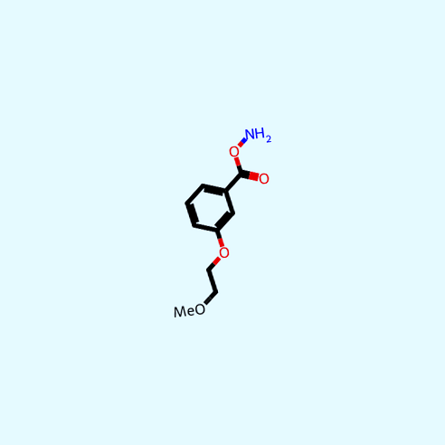 COCCOc1cccc(C(=O)ON)c1